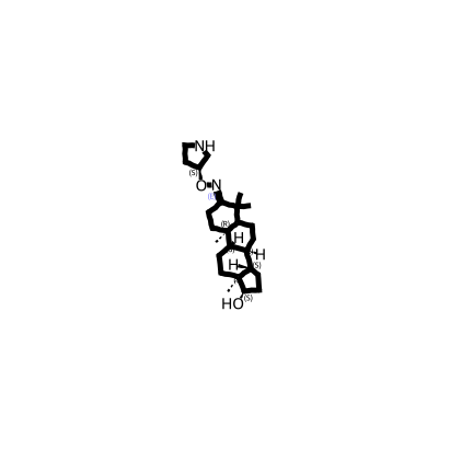 CC1(C)/C(=N/O[C@H]2CCNC2)CC[C@@]2(C)C1CC[C@H]1[C@@H]3CC[C@H](O)[C@@]3(C)CC[C@@H]12